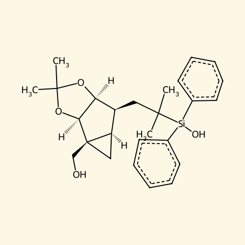 CC1(C)O[C@H]2[C@@H](CC(C)(C)[Si](O)(c3ccccc3)c3ccccc3)[C@H]3C[C@]3(CO)[C@H]2O1